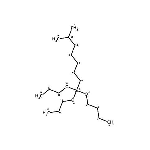 CCCCO[Si](CCCCCC(C)C)(OCCC)OCCC